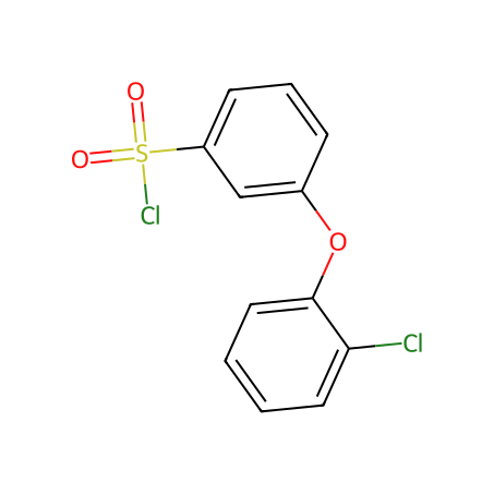 O=S(=O)(Cl)c1cccc(Oc2ccccc2Cl)c1